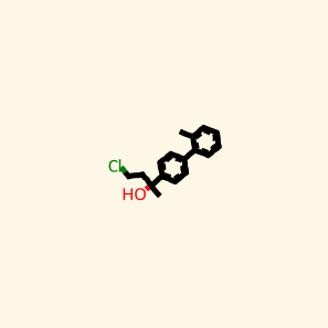 Cc1ccccc1-c1ccc(C(C)(O)CCCl)cc1